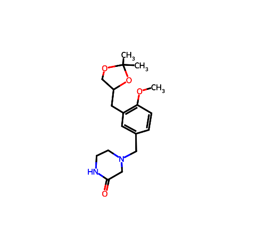 COc1ccc(CN2CCNC(=O)C2)cc1CC1COC(C)(C)O1